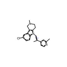 C/C(=C\n1c2c(c3cc(Cl)ccc31)CN(C)CC2)c1ccnc(C)c1